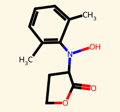 Cc1cccc(C)c1N(O)C1CCOC1=O